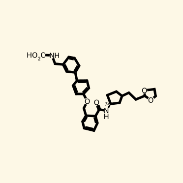 O=C(O)NCc1cccc(-c2ccc(OCc3ccccc3C(=O)N[C@H]3CCC(CCC4OCCO4)C3)cc2)c1